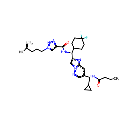 C=C(C#N)CCCn1cc(C(=O)N[C@H](c2cn3ncc(C(NC(=O)CCC(F)(F)F)C4CC4)cc3n2)C2CCC(F)(F)CC2)nn1